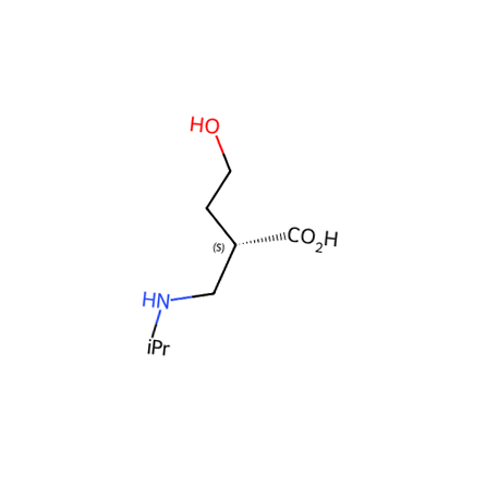 CC(C)NC[C@H](CCO)C(=O)O